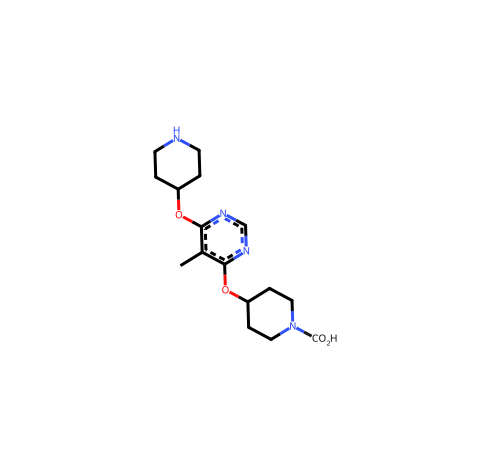 Cc1c(OC2CCNCC2)ncnc1OC1CCN(C(=O)O)CC1